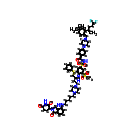 C=C(CCC(F)F)C1=C(CN2CCN(c3ccc(C(=O)NS(=O)(=O)c4ccc(N[C@H](CCN5CCN(CCCCCNc6cccc7c6CN(C6CCC(=O)NC6=O)C7=O)CC5)CSc5ccccc5)c(S(=O)(=O)C(F)(F)F)c4)cc3)CC2)CCC(C)(C)C1